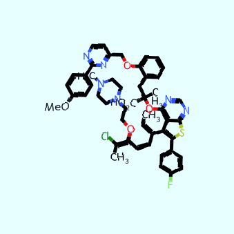 C/C=C(/C=C\C(OCCN1CCN(C)CC1)=C(/C)Cl)c1c(-c2ccc(F)cc2)sc2ncnc(OC(C)(Cc3ccccc3OCc3ccnc(-c4ccc(OC)cc4)n3)C(=O)O)c12